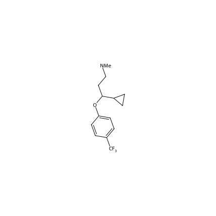 CNCCC(Oc1ccc(C(F)(F)F)cc1)C1CC1